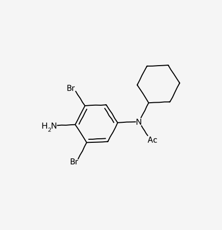 CC(=O)N(c1cc(Br)c(N)c(Br)c1)C1CCCCC1